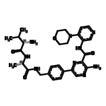 CC(C)[C@H](N)C(=O)N[C@@H](C)C(=O)NCc1ccc(-c2cnc(N)c(C(=O)Nc3cnccc3N3CCOCC3)n2)cc1